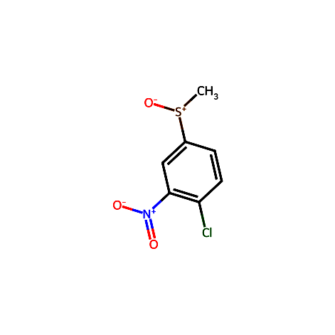 C[S+]([O-])c1ccc(Cl)c([N+](=O)[O-])c1